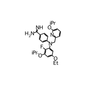 CCOc1cc(OC(C)C)c(F)c(N(Cc2cccc(OC(C)C)n2)c2ccc(C(=N)N)cc2)c1